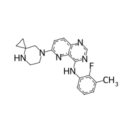 Cc1cccc(Nc2ncnc3ccc(N4CCNC5(CC5)C4)nc23)c1F